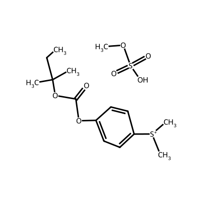 CCC(C)(C)OC(=O)Oc1ccc([S+](C)C)cc1.COS(=O)(=O)O